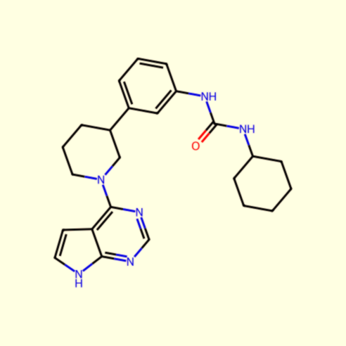 O=C(Nc1cccc(C2CCCN(c3ncnc4[nH]ccc34)C2)c1)NC1CCCCC1